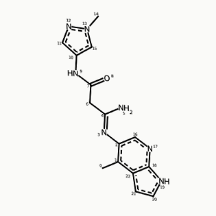 Cc1c(/N=C(\N)CC(=O)Nc2cnn(C)c2)cnc2[nH]ccc12